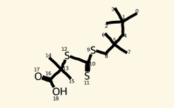 CC(C)(C)CC(C)(C)CSC(=S)SC(C)(C)C(=O)O